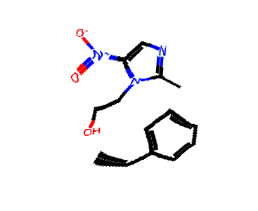 C=Cc1ccccc1.Cc1ncc([N+](=O)[O-])n1CCO